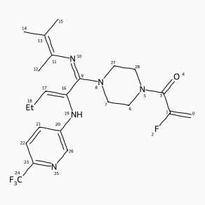 C=C(F)C(=O)N1CCN(C(=N/C(C)=C(C)C)/C(=C/CC)Nc2ccc(C(F)(F)F)nc2)CC1